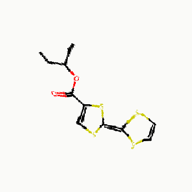 CCC(C)OC(=O)C1=CSC(=C2SC=CS2)S1